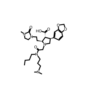 CCCCN(CCCN(C)C)C(=O)CN1C[C@H](c2ccc3c(c2)OCO3)[C@@H](C(=O)O)[C@@H]1CCN1CCN(C)C1=O